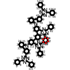 c1ccc(-c2nc(-c3ccccc3)nc(-c3ccc4c(c3)c3ccccc3n4-c3ccc(-c4cccc(-c5ccc(-n6c7ccccc7c7cc(-c8nc(-c9ccccc9)nc(-c9ccccc9)n8)ccc76)cc5-c5nc(-c6ccccc6)nc(-c6ccccc6)n5)c4)c(-c4nc(-c5ccccc5)nc(-c5ccccc5)n4)c3)n2)cc1